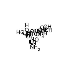 C.Nc1ccn(C[C@@H]2O[C@H](CO)[C@@H](O)[C@H]2O)c(=O)n1.O=P(O)(O)O.O=P(O)(O)O